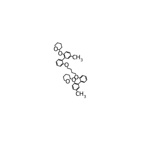 Cc1ccc(OC2CCCCO2)c(-c2ccccc2OCCCCOc2ccccc2-c2cc(C)ccc2OC2CCCCO2)c1